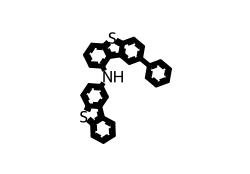 c1ccc(-c2ccc3sc4cccc(Nc5ccc6sc7ccccc7c6c5)c4c3c2)cc1